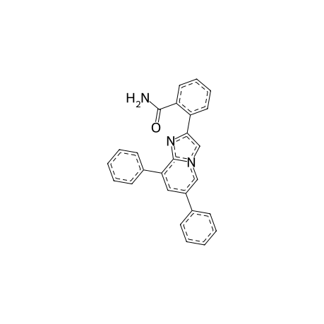 NC(=O)c1ccccc1-c1cn2cc(-c3ccccc3)cc(-c3ccccc3)c2n1